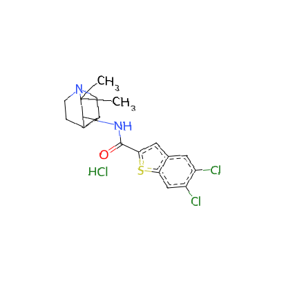 CC1(C)C(NC(=O)c2cc3cc(Cl)c(Cl)cc3s2)C2CCN1CC2.Cl